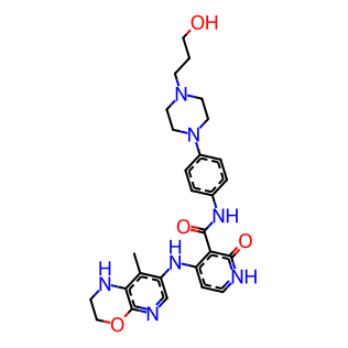 Cc1c(Nc2cc[nH]c(=O)c2C(=O)Nc2ccc(N3CCN(CCCO)CC3)cc2)cnc2c1NCCO2